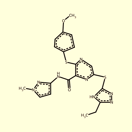 CCc1nnc(Sc2cnc(Sc3ccc(OC)cc3)c(C(=O)Nc3ccn(C)n3)n2)[nH]1